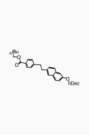 CCCCCCCCCCOc1ccc2cc(CCc3ccc(C(=O)OC[C@H](C)CC)cc3)ccc2c1